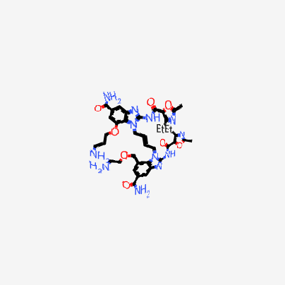 CCc1nc(C)oc1C(=O)Nc1nc2cc(C(N)=O)cc(COCCN)c2n1C/C=C/Cn1c(NC(=O)c2oc(C)nc2CC)nc2cc(C(N)=O)cc(OCCCN)c21